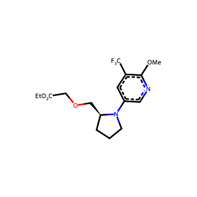 CCOC(=O)COC[C@@H]1CCCN1c1cnc(OC)c(C(F)(F)F)c1